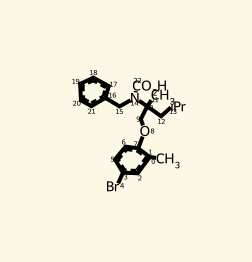 Cc1cc(Br)ccc1OCC(C)(CC(C)C)N(Cc1ccccc1)C(=O)O